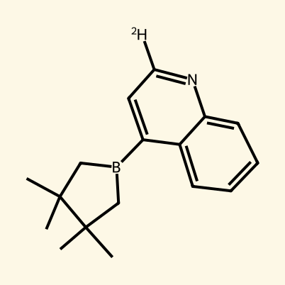 [2H]c1cc(B2CC(C)(C)C(C)(C)C2)c2ccccc2n1